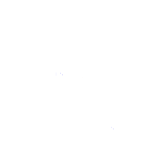 Nc1ccc(C(CF)C(=O)NC2CCCCC2)cc1